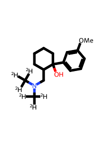 [2H]C([2H])([2H])N(CC1CCCCC1(O)c1cccc(OC)c1)C([2H])([2H])[2H]